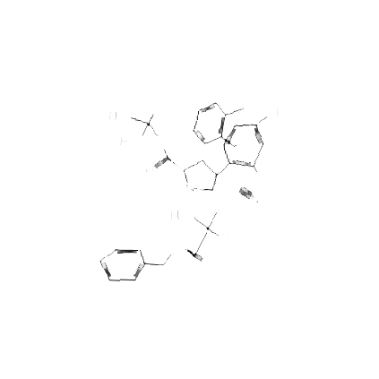 CC(C)(C)OC(=O)[C@@H]1N[C@@H](CC(C)(C)C(=O)OCc2ccccc2)[C@](C#N)(c2ccc(Cl)cc2F)[C@H]1c1cccc(Cl)c1F